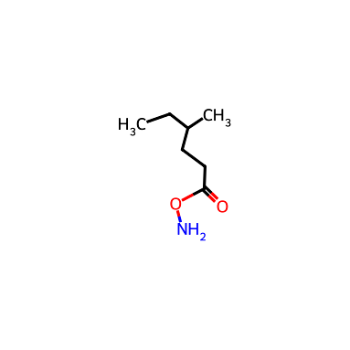 CCC(C)CCC(=O)ON